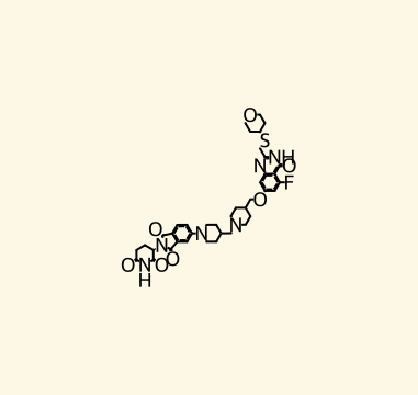 O=C1CC[C@H](N2C(=O)c3ccc(N4CCC(CN5CCC(COc6cc(F)c7c(=O)[nH]c(CSC8CCOCC8)nc7c6)CC5)CC4)cc3C2=O)C(=O)N1